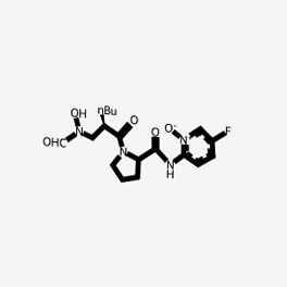 CCCC[C@H](CN(O)C=O)C(=O)N1CCCC1C(=O)Nc1ccc(F)c[n+]1[O-]